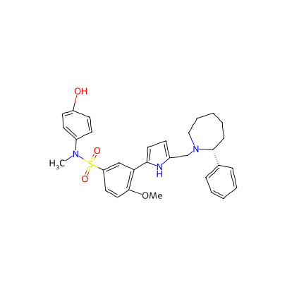 COc1ccc(S(=O)(=O)N(C)c2ccc(O)cc2)cc1-c1ccc(CN2CCCCC[C@@H]2c2ccccc2)[nH]1